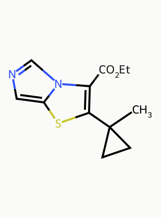 CCOC(=O)c1c(C2(C)CC2)sc2cncn12